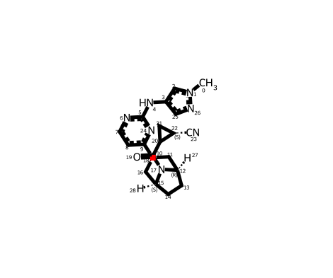 Cn1cc(Nc2nccc(N3C[C@H]4CC[C@@H](C3)N4C(=O)C3C[C@@H]3C#N)n2)cn1